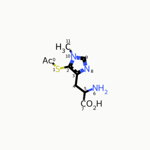 CC(=O)Sc1c(CC(N)C(=O)O)ncn1C